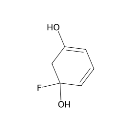 OC1=CC=CC(O)(F)C1